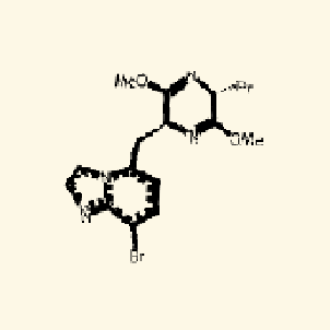 COC1=N[C@H](C(C)C)C(OC)=N[C@H]1Cc1ccc(Br)c2nccn12